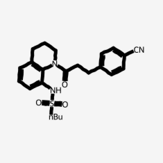 CCCCS(=O)(=O)Nc1cccc2c1N(C(=O)CCc1ccc(C#N)cc1)CCC2